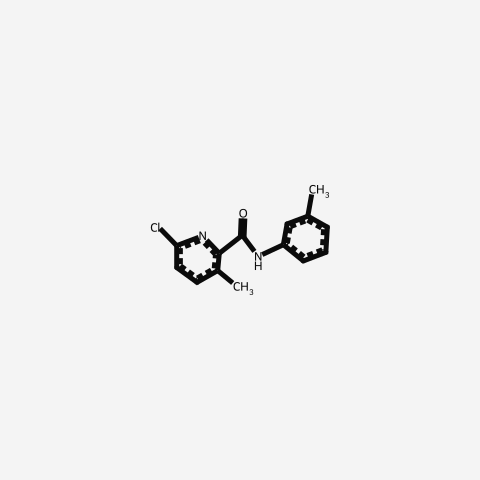 Cc1cccc(NC(=O)c2nc(Cl)ccc2C)c1